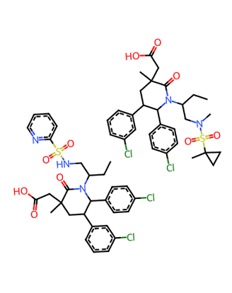 CCC(CN(C)S(=O)(=O)C1(C)CC1)N1C(=O)C(C)(CC(=O)O)CC(c2cccc(Cl)c2)C1c1ccc(Cl)cc1.CCC(CNS(=O)(=O)c1ccccn1)N1C(=O)C(C)(CC(=O)O)CC(c2cccc(Cl)c2)C1c1ccc(Cl)cc1